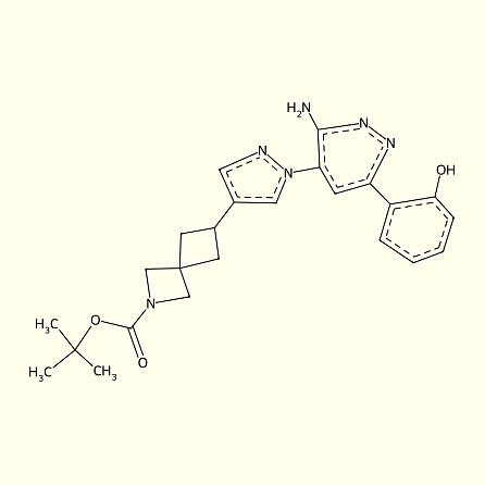 CC(C)(C)OC(=O)N1CC2(CC(c3cnn(-c4cc(-c5ccccc5O)nnc4N)c3)C2)C1